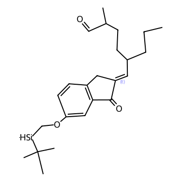 CCCC(/C=C1\Cc2ccc(OC[SiH](C)C(C)(C)C)cc2C1=O)CCC(C)C=O